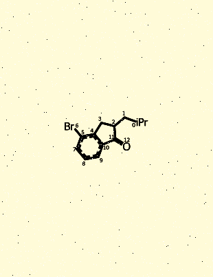 CC(C)CC1Cc2c(Br)cccc2C1=O